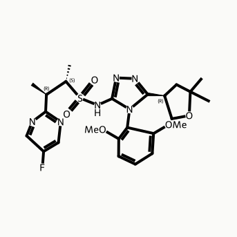 COc1cccc(OC)c1-n1c(NS(=O)(=O)[C@@H](C)[C@H](C)c2ncc(F)cn2)nnc1[C@@H]1COC(C)(C)C1